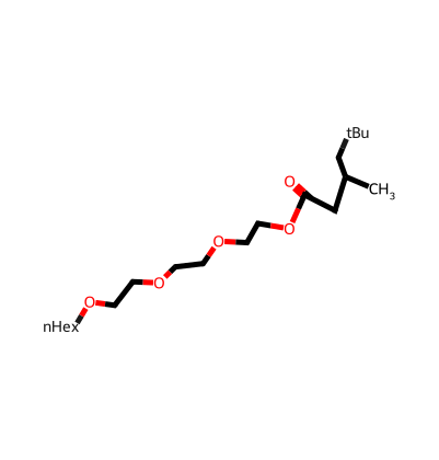 CCCCCCOCCOCCOCCOC(=O)CC(C)CC(C)(C)C